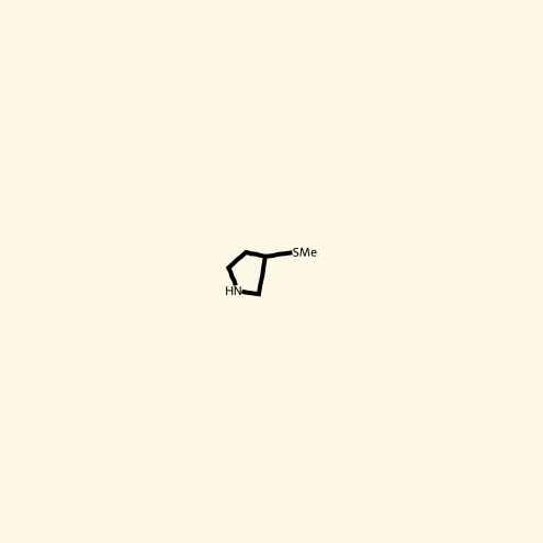 CSC1CCNC1